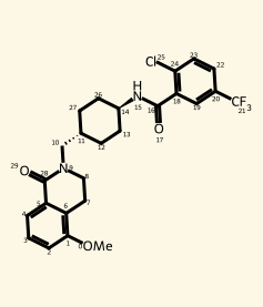 COc1cccc2c1CCN(C[C@H]1CC[C@H](NC(=O)c3cc(C(F)(F)F)ccc3Cl)CC1)C2=O